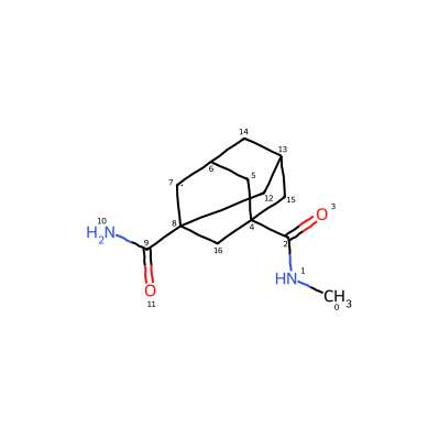 CNC(=O)C12CC3[CH]C(C(N)=O)(CC(C3)C1)C2